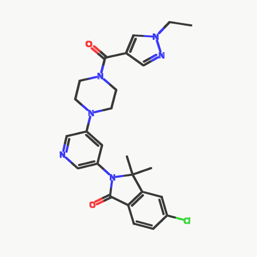 CCn1cc(C(=O)N2CCN(c3cncc(N4C(=O)c5ccc(Cl)cc5C4(C)C)c3)CC2)cn1